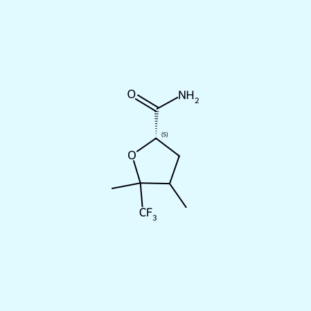 CC1C[C@@H](C(N)=O)OC1(C)C(F)(F)F